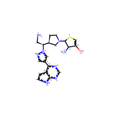 NC[C@@H]([C@H]1CCN(C2SC=C(O)C2N)C1)n1cc(-c2ncnc3[nH]ccc23)cn1